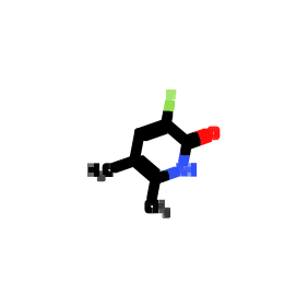 Cc1cc(F)c(=O)[nH]c1C